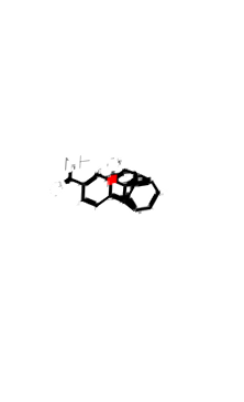 NC(=O)c1ccc2c3c(C=O)c(cc2c1)-c1ccc-3cc1